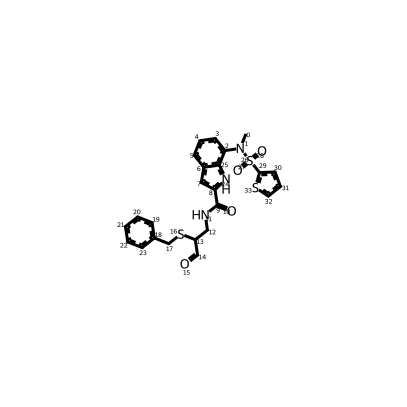 CN(c1cccc2cc(C(=O)NCC(C=O)SCc3ccccc3)[nH]c12)S(=O)(=O)c1cccs1